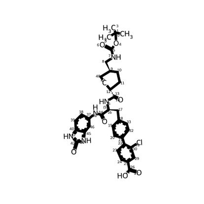 CC(C)(C)OC(=O)NC[C@H]1CC[C@H](C(=O)N[C@@H](Cc2ccc(-c3ccc(C(=O)O)cc3Cl)cc2)C(=O)Nc2ccc3[nH]c(=O)[nH]c3c2)CC1